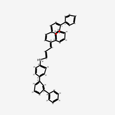 C(=C/c1ccc(-c2ccccc2)cc1)/C(=C\C=C\Nc1ccc(-c2cccc(-c3ccccc3)c2)cc1)c1ccccc1